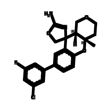 C[C@]12CCOC[C@H]1C1(COC(N)=N1)c1cc(-c3cc(F)cc(Cl)c3)ccc1O2